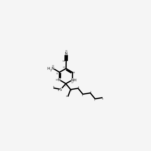 CCCCCC(C)C1(SC)N=C(N)C(C#N)=CN1